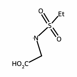 CCS(=O)(=O)[N]CC(=O)O